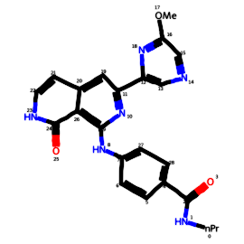 CCCNC(=O)c1ccc(Nc2nc(-c3cncc(OC)n3)cc3cc[nH]c(=O)c23)cc1